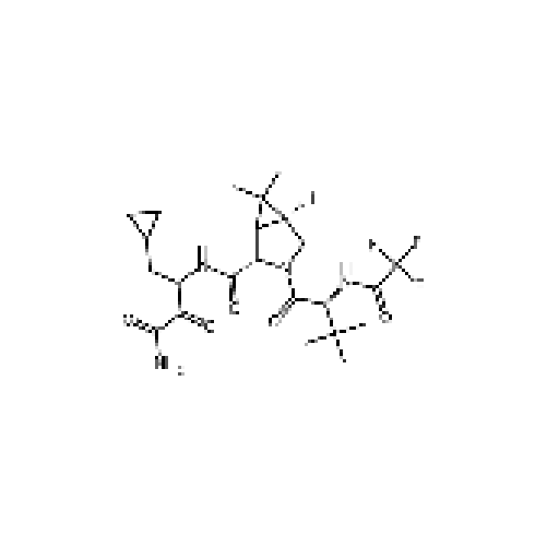 CC(C)(C)[C@H](NC(=O)C(F)(F)F)C(=O)N1C[C@H]2C([C@H]1C(=O)NC(CC1CC1)C(=O)C(N)=O)C2(C)C